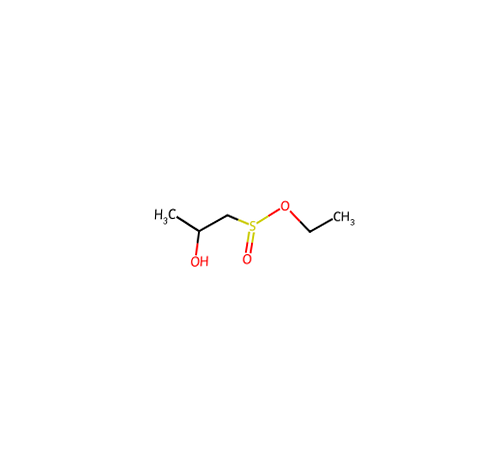 CCOS(=O)CC(C)O